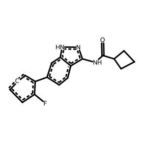 O=C(Nc1n[nH]c2cc(-c3ccccc3F)ccc12)C1CCC1